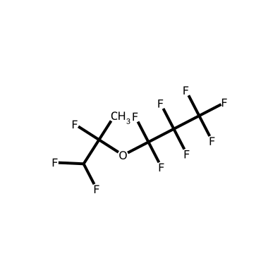 CC(F)(OC(F)(F)C(F)(F)C(F)(F)F)C(F)F